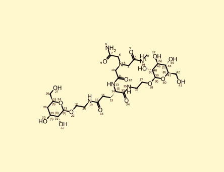 CNC(=O)CN(CC(N)=O)CC(=O)N[C@@H](CCC(=O)NCCO[C@@H]1O[C@H](CO)C[C@H](O)[C@H]1O)C(=O)NCCO[C@@H]1O[C@H](CO)[C@@H](O)[C@H](O)[C@H]1O